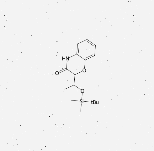 CC(O[Si](C)(C)C(C)(C)C)C1Oc2ccccc2NC1=O